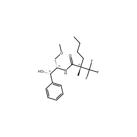 CCCC[C@@](C)(C(=O)N[C@@H](COC)[C@@H](O)c1ccccc1)C(F)(F)F